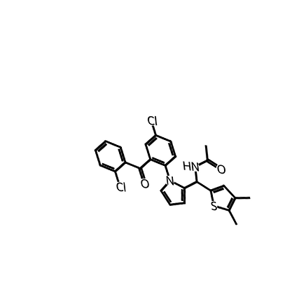 CC(=O)NC(c1cc(C)c(C)s1)c1cccn1-c1ccc(Cl)cc1C(=O)c1ccccc1Cl